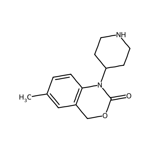 Cc1ccc2c(c1)COC(=O)N2C1CCNCC1